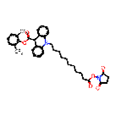 O=C(CCCCCCCCCCN1c2ccccc2C(C(=O)Oc2c(C(F)(F)F)cccc2C(F)(F)F)c2ccccc21)ON1C(=O)CCC1=O